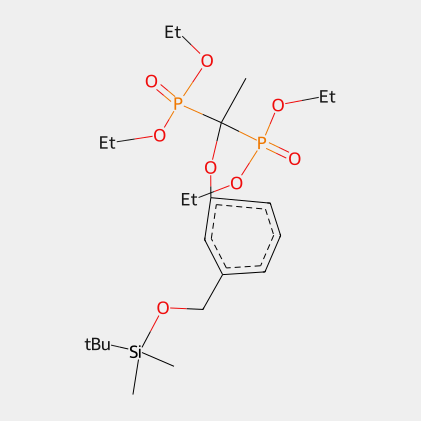 CCOP(=O)(OCC)C(C)(Oc1cccc(CO[Si](C)(C)C(C)(C)C)c1)P(=O)(OCC)OCC